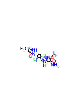 NC(=O)c1cc2[nH]c(Nc3c(Cl)ccc(CNC(=O)c4cc(C(F)(F)F)n[nH]4)c3Cl)nc2nc1OCC(F)F